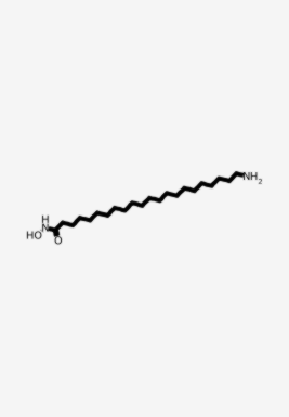 NCCCCCCCCCCCCCCCCCCCCCC(=O)NO